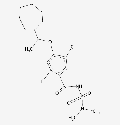 CC(Oc1cc(F)c(C(=O)NS(=O)(=O)N(C)C)cc1Cl)C1CCCCCC1